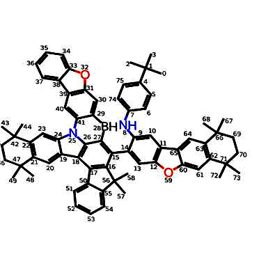 CC(C)(C)c1ccc(Nc2cc3c(cc2-c2c4c(c5c6cc7c(cc6n6c5c2Bc2cc5oc8ccccc8c5cc2-6)C(C)(C)CCC7(C)C)-c2ccccc2C4(C)C)oc2cc4c(cc23)C(C)(C)CCC4(C)C)cc1